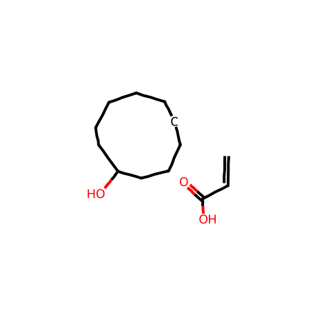 C=CC(=O)O.OC1CCCCCCCCC1